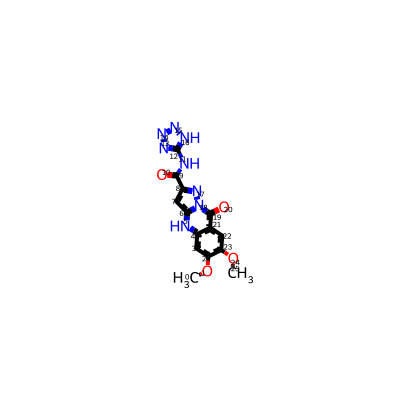 COc1cc2[nH]c3cc(C(=O)Nc4nnn[nH]4)nn3c(=O)c2cc1OC